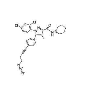 Cc1c(C(=O)NN2CCCCC2)nn(-c2ccc(Cl)cc2Cl)c1-c1ccc(C#CCCN=[N+]=[N-])cc1